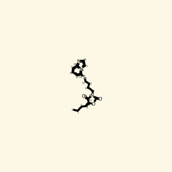 CCCC=C1OC(=O)N(CCCCSc2cccc3nccn23)C1=O